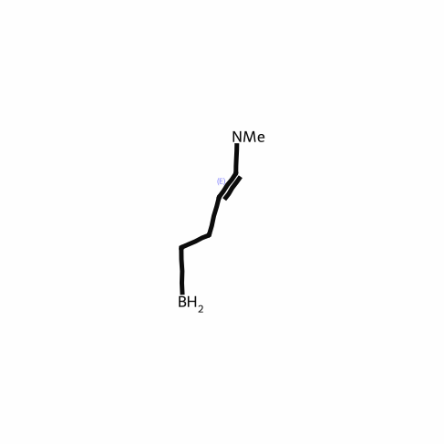 BCC/C=C/NC